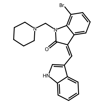 O=C1C(=Cc2c[nH]c3ccccc23)c2cccc(Br)c2N1CN1CCCCC1